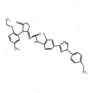 Cc1ccc(OCC(F)(F)F)c(N2C(=O)CSC2=NC(=O)Nc2ccc(-c3ncn(-c4ccc(SC(F)(F)F)cc4)n3)cc2F)c1